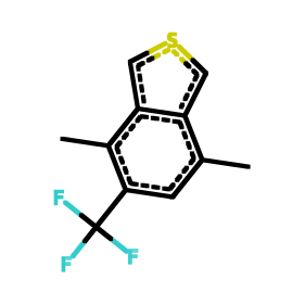 Cc1cc(C(F)(F)F)c(C)c2cscc12